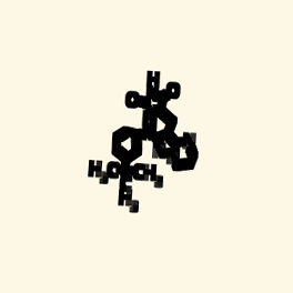 CC(C)(C)c1cccc(Nc2nn3cccnc3c2C=C2NC(=O)NC2=O)c1